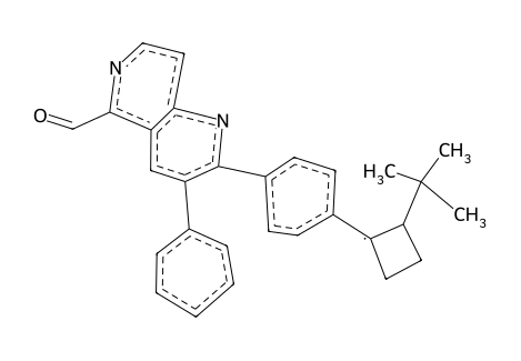 CC(C)(C)C1CC[C]1c1ccc(-c2nc3ccnc(C=O)c3cc2-c2ccccc2)cc1